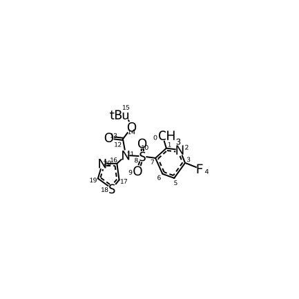 Cc1nc(F)ccc1S(=O)(=O)N(C(=O)OC(C)(C)C)c1cscn1